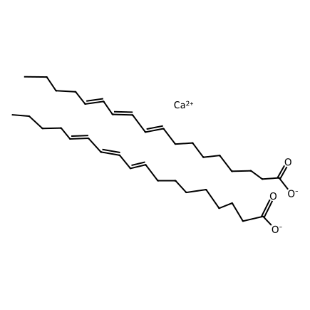 CCCCC=CC=CC=CCCCCCCCC(=O)[O-].CCCCC=CC=CC=CCCCCCCCC(=O)[O-].[Ca+2]